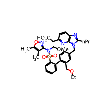 CCCc1nc2ccc(CC(=O)O)nc2n1Cc1ccc(-c2ccccc2S(=O)(=O)N(COC)c2noc(C)c2C)c(COCC)c1